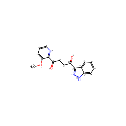 COc1cccnc1C(=O)CCC(=O)c1n[nH]c2ccccc12